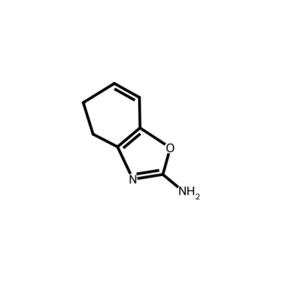 Nc1nc2c(o1)C=CCC2